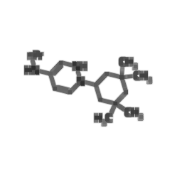 CCCNC1=CNN(C2CC(C)(C)CC(C)(C)C2)C=C1